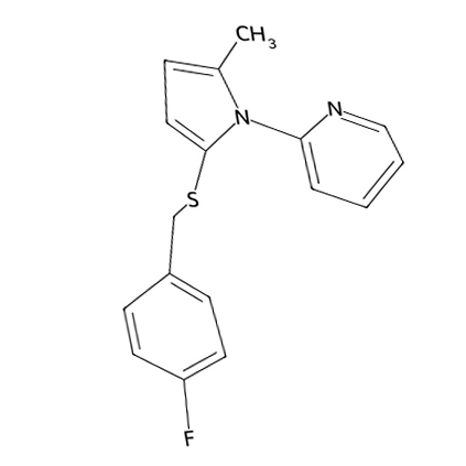 Cc1ccc(SCc2ccc(F)cc2)n1-c1ccccn1